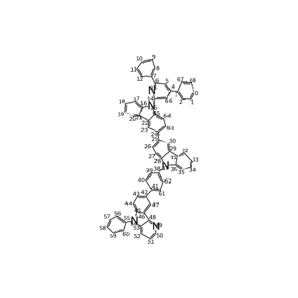 c1ccc(-c2cc(-c3ccccc3)nc(-n3c4ccccc4c4cc(-c5ccc6c(c5)c5ccccc5n6-c5ccc(-c6ccc7c(c6)c6ncccc6n7-c6ccccc6)cc5)ccc43)c2)cc1